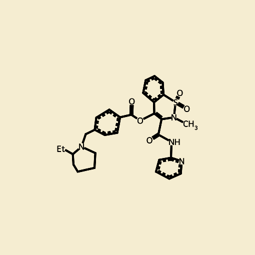 CCC1CCCCN1Cc1ccc(C(=O)OC2=C(C(=O)Nc3ccccn3)N(C)S(=O)(=O)c3ccccc32)cc1